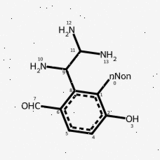 CCCCCCCCCc1c(O)ccc(C=O)c1C(N)C(N)N